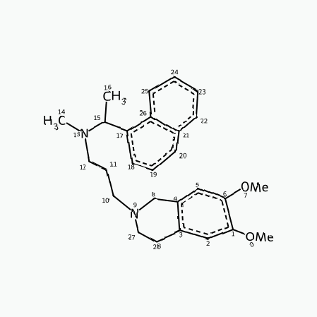 COc1cc2c(cc1OC)CN(CCCN(C)C(C)c1cccc3ccccc13)CC2